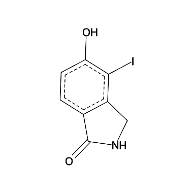 O=C1NCc2c1ccc(O)c2I